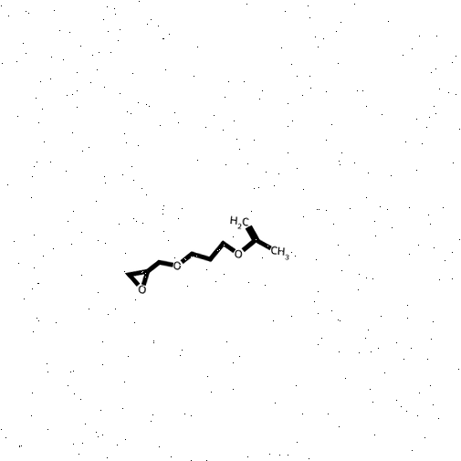 C=C(C)OCCCOCC1CO1